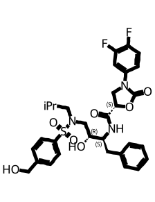 CC(C)CN(C[C@@H](O)[C@H](Cc1ccccc1)NC(=O)[C@@H]1CN(c2ccc(F)c(F)c2)C(=O)O1)S(=O)(=O)c1ccc(CO)cc1